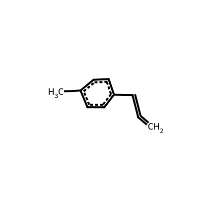 C=C=Cc1ccc(C)cc1